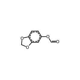 O=COc1ccc2c(c1)OCO2